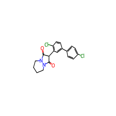 O=C1C(c2cc(-c3ccc(Cl)cc3)ccc2Cl)C(=O)N2CCCCN12